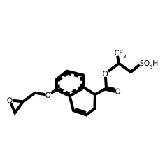 O=C(OC(CS(=O)(=O)O)C(F)(F)F)C1CC=Cc2c(OCC3CO3)cccc21